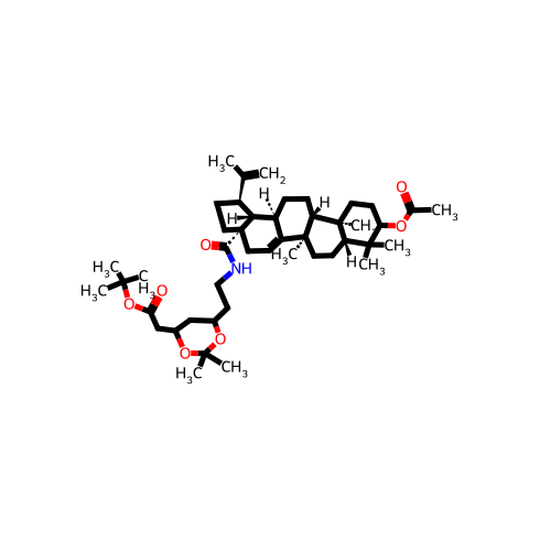 C=C(C)[C@@H]1CC[C@]2(C(=O)NCCC3CC(CC(=O)OC(C)(C)C)OC(C)(C)O3)CC=C3[C@H](CC[C@@H]4[C@@]5(C)CCC(OC(C)=O)C(C)(C)[C@@H]5CC[C@@]34C)[C@@H]12